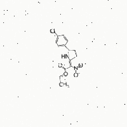 CCOC(=O)/C(=C1/CCC(c2ccc(Cl)cc2)N1)[N+](=O)[O-]